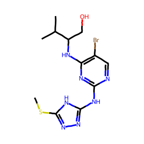 CSc1nnc(Nc2ncc(Br)c(NC(CO)C(C)C)n2)[nH]1